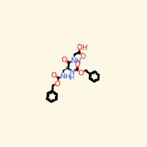 O=C(O)CNC(=O)[C@H](CNC(=O)OCc1ccccc1)NC(=O)OCc1ccccc1